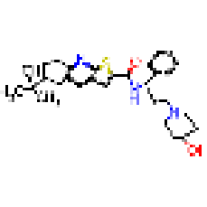 CC(C)(C)[C@H]1CCc2nc3sc(C(=O)N[C@H](CCN4CCC(O)CC4)c4ccccc4)cc3cc2C1